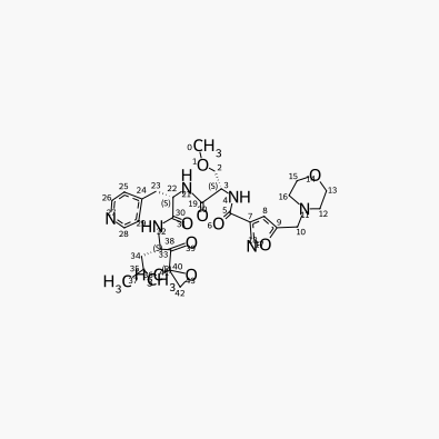 COC[C@H](NC(=O)c1cc(CN2CCOCC2)on1)C(=O)N[C@@H](Cc1ccncc1)C(=O)N[C@@H](CC(C)C)C(=O)[C@@]1(C)CO1